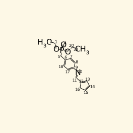 CCOP(=O)(Cc1ccc(N=CC2=CC=CC2)cc1)OCC